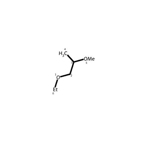 CCO[CH]C(C)OC